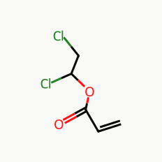 C=CC(=O)OC(Cl)CCl